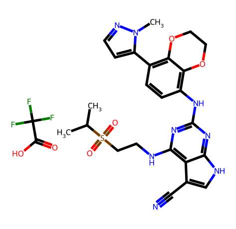 CC(C)S(=O)(=O)CCNc1nc(Nc2ccc(-c3ccnn3C)c3c2OCCO3)nc2[nH]cc(C#N)c12.O=C(O)C(F)(F)F